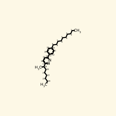 CCCCCCCCCCc1ccc(-c2ccc(C(C)CCCCCC)nn2)cc1